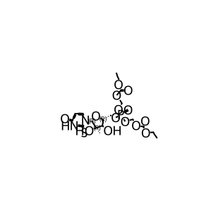 CCOC(=O)OCOP(=O)(OCOC(=O)OCC)OC[C@H]1O[C@@H](n2ccc(=O)[nH]c2=S)[C@](C)(O)C1O